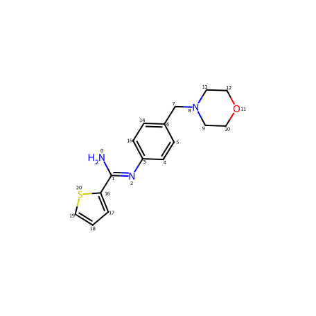 NC(=Nc1ccc(CN2CCOCC2)cc1)c1cccs1